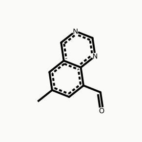 Cc1cc(C=O)c2ncncc2c1